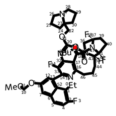 CCc1c(F)ccc2cc(OCOC)cc(-c3nc4c5c(nc(OCC67CCCN6CCC7)nc5c3F)N3C[C@@]5(F)CC[C@@](F)([C@H]3CCC4)N5C(=O)OC(C)(C)C)c12